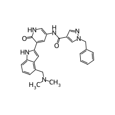 CN(C)Cc1cccc2[nH]c(-c3cc(NC(=O)c4cnn(Cc5ccccc5)c4)c[nH]c3=O)cc12